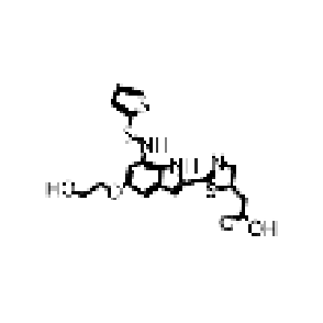 O=C(O)CC1CN=C(c2cc3cc(OCCO)cc(NSc4cccs4)c3[nH]2)S1